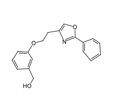 OCc1cccc(OCCc2coc(-c3ccccc3)n2)c1